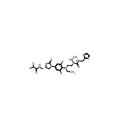 CCN(CCN(NC)C(=O)NCc1nccs1)c1c(F)cc(N2C[C@H](CNC(=O)C(F)F)OC2=O)cc1F